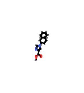 COC(=O)c1cn(C2CCc3ccccc3C2)cn1